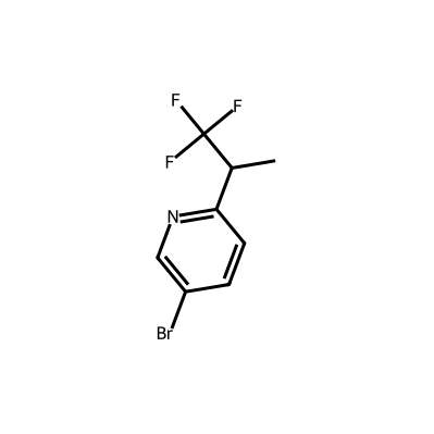 CC(c1ccc(Br)cn1)C(F)(F)F